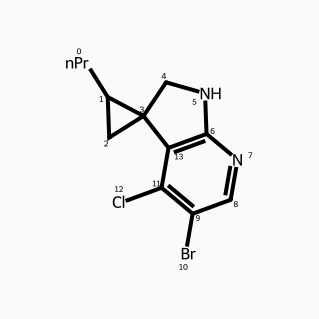 CCCC1CC12CNc1ncc(Br)c(Cl)c12